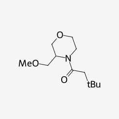 COCC1COCCN1C(=O)CC(C)(C)C